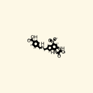 O=C(O)c1ccc(CNCC2Cc3c([N+](=O)[O-])cc4[nH]c(=O)c(=O)[nH]c4c3C2)cc1